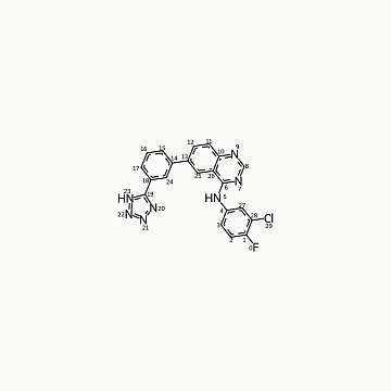 Fc1ccc(Nc2ncnc3ccc(-c4cccc(-c5nnn[nH]5)c4)cc23)cc1Cl